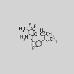 CCC(c1ccc(F)c(NC(=O)[C@H](N)[C@@H](C)C(F)(F)F)c1)C(C)C